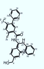 N=C1C=C(CO)C=C/C1=C(\NC(=O)c1cc(-c2ncccn2)c(C(F)(F)F)cc1F)Nc1ccccc1